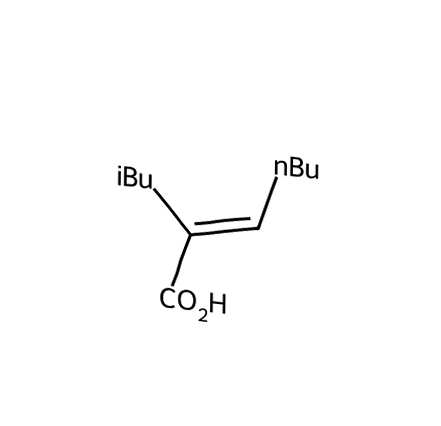 CCCCC=C(C(=O)O)C(C)CC